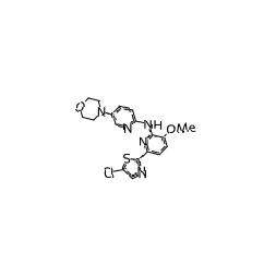 COc1ccc(-c2ncc(Cl)s2)nc1Nc1ccc(N2CCOCC2)cn1